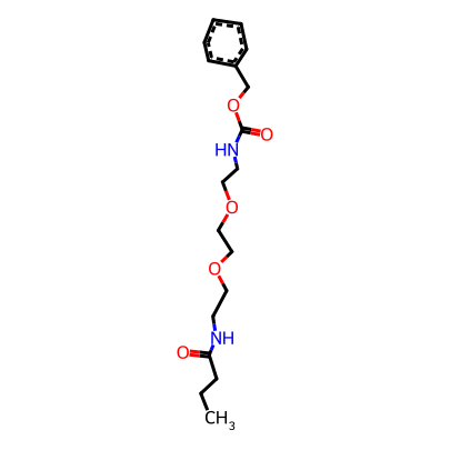 CCCC(=O)NCCOCCOCCNC(=O)OCc1ccccc1